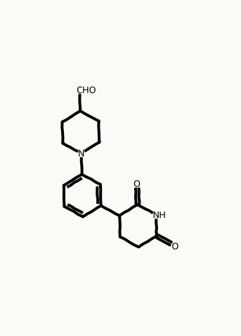 O=CC1CCN(c2cccc(C3CCC(=O)NC3=O)c2)CC1